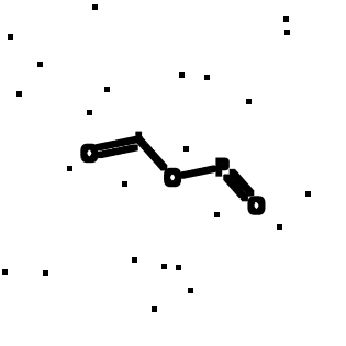 O=[C]OP=O